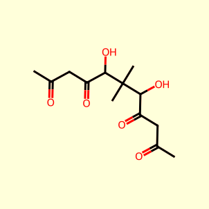 CC(=O)CC(=O)C(O)C(C)(C)C(O)C(=O)CC(C)=O